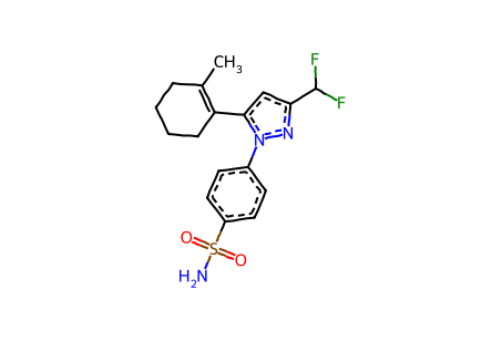 CC1=C(c2cc(C(F)F)nn2-c2ccc(S(N)(=O)=O)cc2)CCCC1